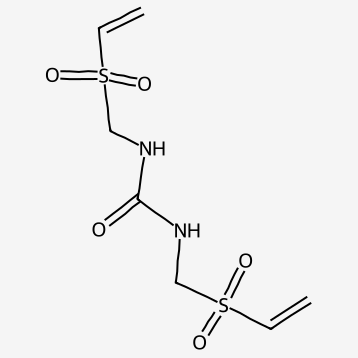 C=CS(=O)(=O)CNC(=O)NCS(=O)(=O)C=C